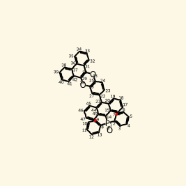 O=P(c1ccccc1)(c1ccccc1)c1c2ccccc2c(-c2ccc3c(c2)Oc2c(c4ccccc4c4ccccc24)O3)c2ccccc12